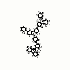 c1ccc(-c2ccc3c(c2)c2cc(-c4ccc5c(c4)c4ccccc4n5-c4ccccc4)ccc2n3-c2ccc(-c3ccc4c(c3)-n3c5ccccc5c5cccc(c53)O4)cc2)cc1